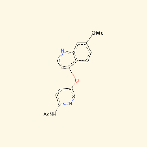 COc1ccc2c(Oc3ccc(NC(C)=O)nc3)ccnc2c1